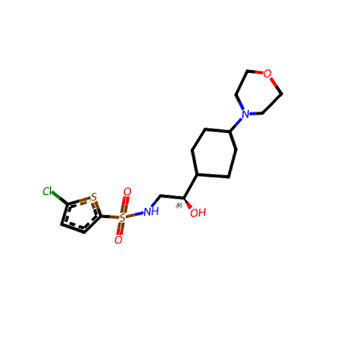 O=S(=O)(NC[C@H](O)C1CCC(N2CCOCC2)CC1)c1ccc(Cl)s1